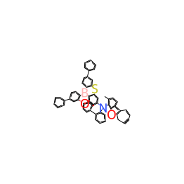 Cc1ccc2c3c(oc2c1N(c1cc2c4c(c1)Sc1cc(-c5ccccc5)ccc1B4c1ccc(-c4ccccc4)cc1O2)c1ccccc1-c1ccccc1)CC#CC=C3